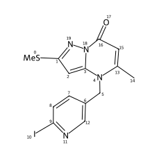 CSc1cc2n(Cc3ccc(I)nc3)c(C)cc(=O)n2n1